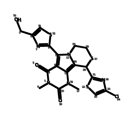 Cn1c(=O)c2c(-c3nc(CO)cs3)n3c(c2n(C)c1=O)C(c1nc(Cl)cs1)SCC3